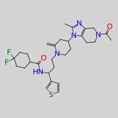 C=C1CC(n2c(C)nc3c2CCN(C(C)=O)C3)CCN1CCC(NC(=O)C1CCC(F)(F)CC1)c1ccsc1